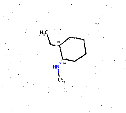 CC[C@@H]1CCCC[C@@H]1NC